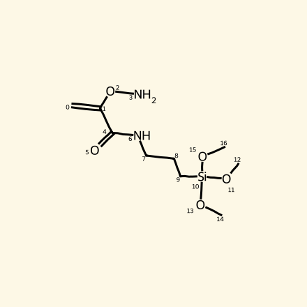 C=C(ON)C(=O)NCCC[Si](OC)(OC)OC